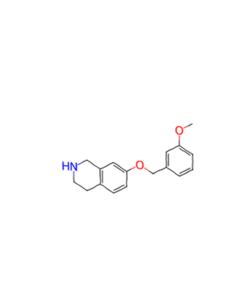 COc1cccc(COc2ccc3c(c2)CNCC3)c1